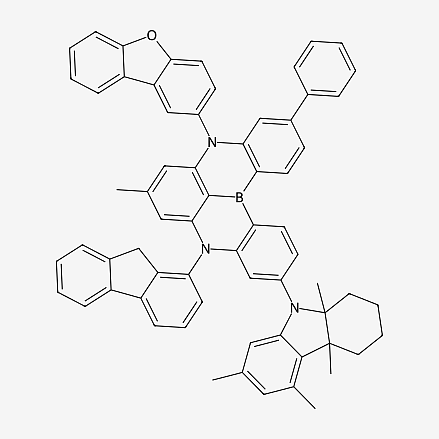 Cc1cc2c3c(c1)N(c1cccc4c1Cc1ccccc1-4)c1cc(N4c5cc(C)cc(C)c5C5(C)CCCCC45C)ccc1B3c1ccc(-c3ccccc3)cc1N2c1ccc2oc3ccccc3c2c1